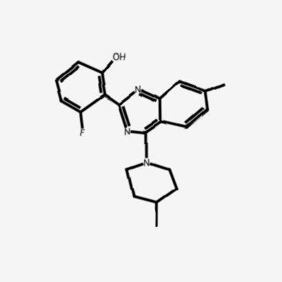 Cc1ccc2c(N3CCC(C)CC3)nc(-c3c(O)cccc3F)nc2c1